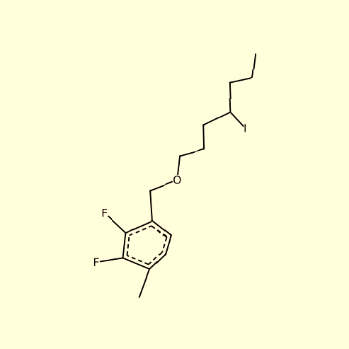 CCCC(I)CCCOCc1ccc(C)c(F)c1F